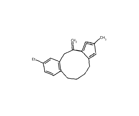 C=C1Cc2cc(CC)ccc2CCCCC2=CC(C)=C=C12